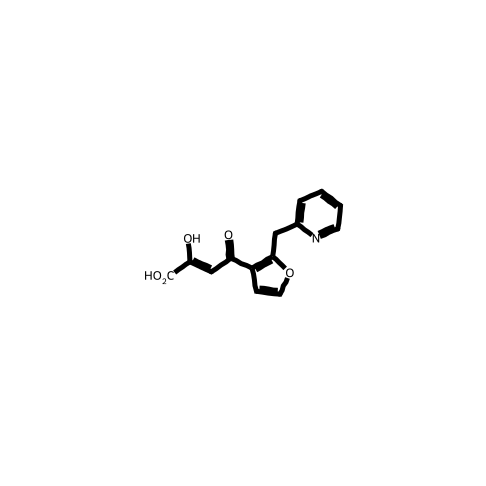 O=C(O)C(O)=CC(=O)c1ccoc1Cc1ccccn1